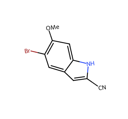 COc1cc2[nH]c(C#N)cc2cc1Br